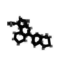 Nc1n[nH]c2nc(-c3ccc4c(c3)OCCO4)c3c(c12)CCCC3